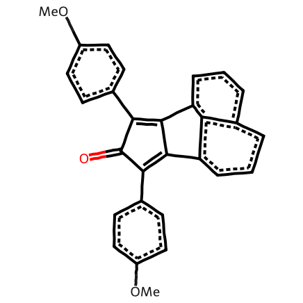 COc1ccc(C2=C3C(=C(c4ccc(OC)cc4)C2=O)c2cccc4cccc3c24)cc1